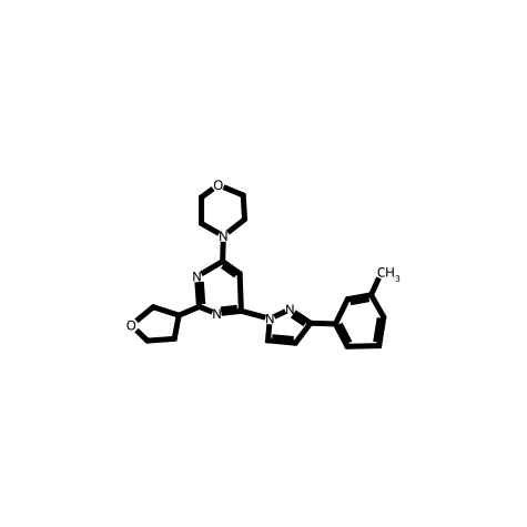 Cc1cccc(-c2ccn(-c3cc(N4CCOCC4)nc(C4CCOC4)n3)n2)c1